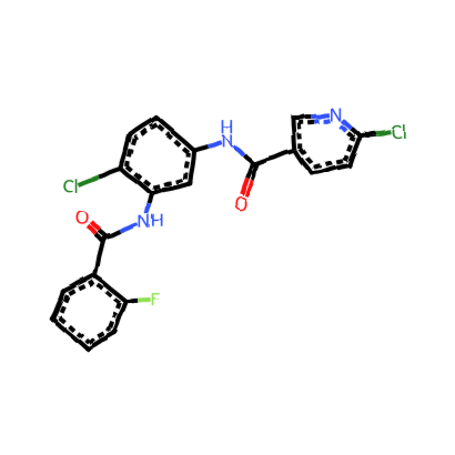 O=C(Nc1ccc(Cl)c(NC(=O)c2ccccc2F)c1)c1ccc(Cl)nc1